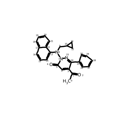 CC(=O)c1cc(=O)n(N(CC2CC2)c2cccc3ccccc23)nc1-c1ccccc1